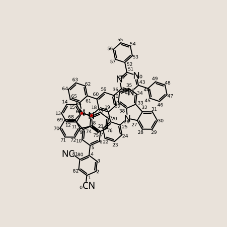 N#Cc1ccc(-c2ccc3c(c2)c2ccccc2n3-c2c(-c3ccccc3-n3c4ccccc4c4ccccc43)cc(-c3nc(-c4ccccc4)nc(-c4ccccc4)n3)cc2-c2ccccc2-n2c3ccccc3c3ccccc32)c(C#N)c1